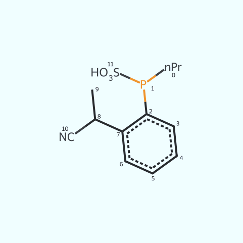 CCCP(c1ccccc1C(C)C#N)S(=O)(=O)O